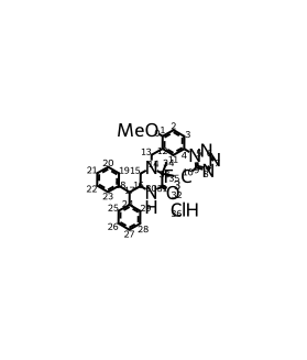 COc1ccc(-n2nnnc2C(F)(F)F)cc1CN1CC(C(c2ccccc2)c2ccccc2)NC(=O)C1(C)C.Cl